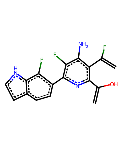 C=C(O)c1nc(-c2ccc3cc[nH]c3c2F)c(F)c(N)c1C(=C)F